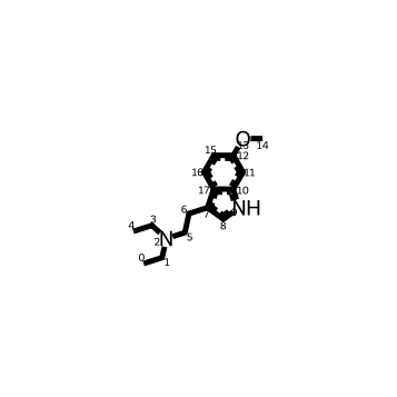 CCN(CC)CCc1c[nH]c2cc(OC)ccc12